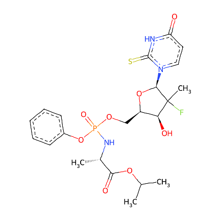 CC(C)OC(=O)[C@H](C)NP(=O)(OC[C@H]1O[C@@H](n2ccc(=O)[nH]c2=S)C(C)(F)[C@H]1O)Oc1ccccc1